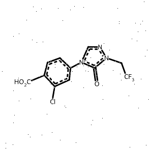 O=C(O)c1ccc(-n2cnn(CC(F)(F)F)c2=O)cc1Cl